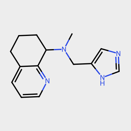 CN(Cc1cnc[nH]1)C1CCCc2cccnc21